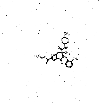 CCOC(=O)c1cc2n(n1)CC(C)(C(=O)NC1CCC(C)CC1)N(Cc1ccccc1C)C2=O